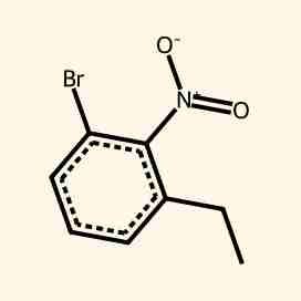 CCc1cccc(Br)c1[N+](=O)[O-]